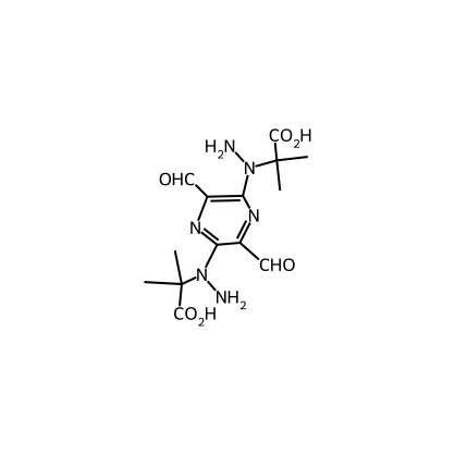 CC(C)(C(=O)O)N(N)c1nc(C=O)c(N(N)C(C)(C)C(=O)O)nc1C=O